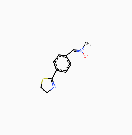 C[N+]([O-])=Cc1ccc(C2=NCCS2)cc1